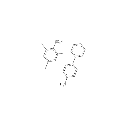 Cc1cc(C)c(S(=O)(=O)O)c(C)c1.N[n+]1ccc(-c2ccccc2)cc1